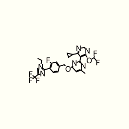 CCn1cc(C(F)(F)F)nc1-c1ccc(COc2cc(C)nc(-c3c(OC(F)F)ncnc3C3CC3)n2)cc1F